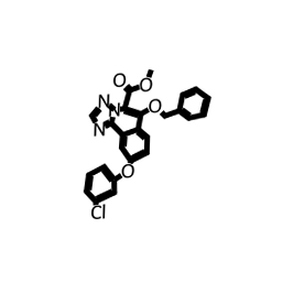 COC(=O)c1c(OCc2ccccc2)c2ccc(Oc3cccc(Cl)c3)cc2c2ncnn12